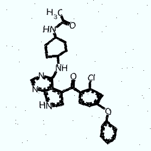 CC(=O)NC1CCC(Nc2ncnc3[nH]cc(C(=O)c4ccc(Oc5ccccc5)cc4Cl)c23)CC1